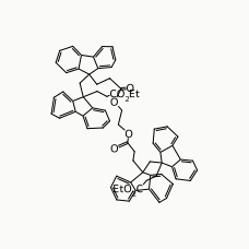 CCOC(=O)CCC1(CC2(CCC(=O)OCCOC(=O)CCC3(CC4(CCC(=O)OCC)c5ccccc5-c5ccccc54)c4ccccc4-c4ccccc43)c3ccccc3-c3ccccc32)c2ccccc2-c2ccccc21